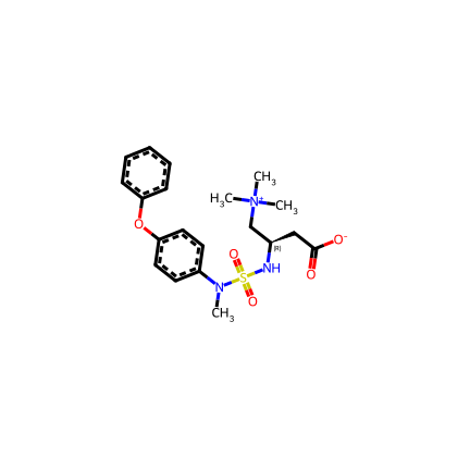 CN(c1ccc(Oc2ccccc2)cc1)S(=O)(=O)N[C@H](CC(=O)[O-])C[N+](C)(C)C